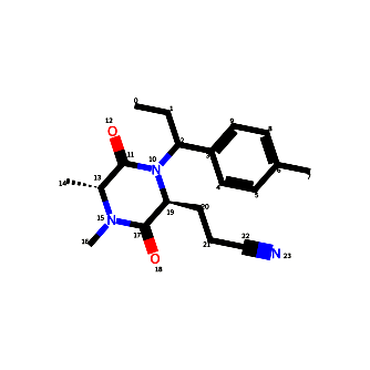 CCC(c1ccc(C)cc1)N1C(=O)[C@@H](C)N(C)C(=O)[C@@H]1CCC#N